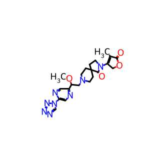 COC(CN1CCC2(CC1)CCN(C1=C(C)C(=O)OC1)C2=O)c1cnc(-n2cnnn2)cn1